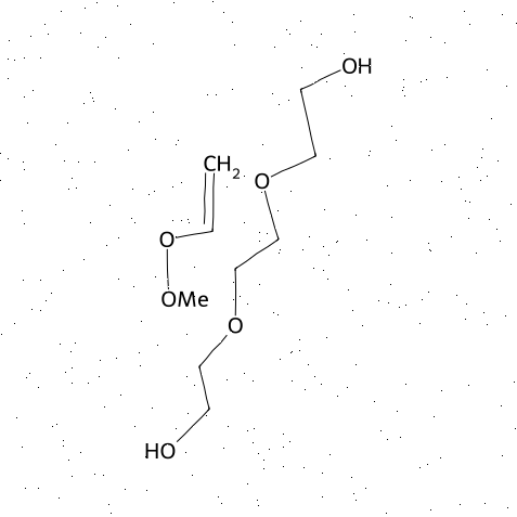 C=COOC.OCCOCCOCCO